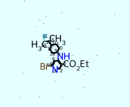 CCOC(=O)c1cnc(Br)cc1NC1CCC(C(C)(C)F)CC1